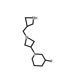 FC1CCCN(C2CN(CC3CNC3)C2)C1